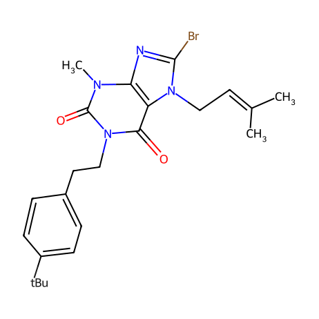 CC(C)=CCn1c(Br)nc2c1c(=O)n(CCc1ccc(C(C)(C)C)cc1)c(=O)n2C